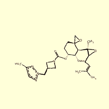 CO[C@@H]1[C@H](OC(=O)N2CC(Cn3ncc(C(=O)O)n3)C2)CC[C@]2(CO2)[C@H]1[C@@]1(C)OC1CC=C(C)C